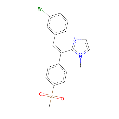 Cn1ccnc1/C(=C\c1cccc(Br)c1)c1ccc(S(C)(=O)=O)cc1